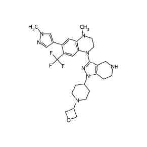 CN1CCN(c2nn(C3CCN(C4COC4)CC3)c3c2CNCC3)c2cc(C(F)(F)F)c(-c3cnn(C)c3)cc21